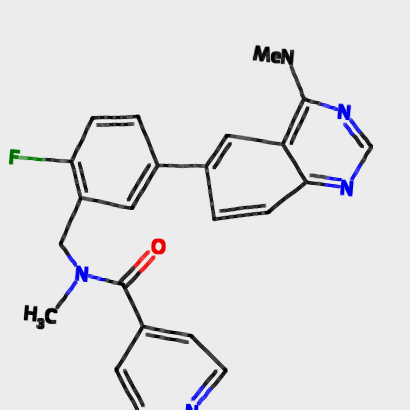 CNc1ncnc2ccc(-c3ccc(F)c(CN(C)C(=O)c4ccncc4)c3)cc12